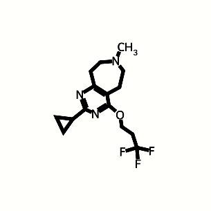 CN1CCc2nc(C3CC3)nc(OCCC(F)(F)F)c2CC1